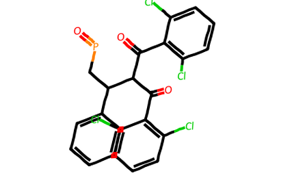 O=PCC(c1ccccc1)C(C(=O)c1c(Cl)cccc1Cl)C(=O)c1c(Cl)cccc1Cl